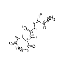 C[C@@H](C[CH]C(=O)N(C)[C@H]1CCC(=O)NCC1=O)C(N)=O